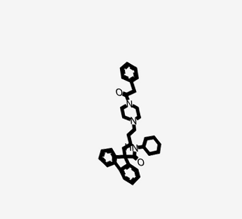 O=C(Cc1ccccc1)N1CCN(CCCCC2(C(=O)NC3CCCCC3)c3ccccc3-c3ccccc32)CC1